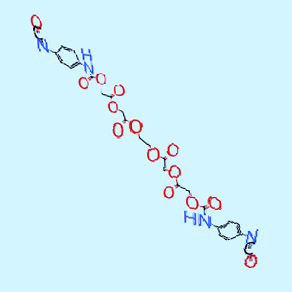 O=C=Nc1ccc(NC(=O)OCC(=O)OCC(=O)OCCOC(=O)COC(=O)COC(=O)Nc2ccc(N=C=O)cc2)cc1